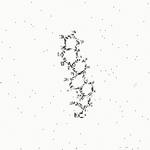 N#Cc1cc2ccc3c4ccc5c(ccc6ccsc65)c4ccc3c2s1